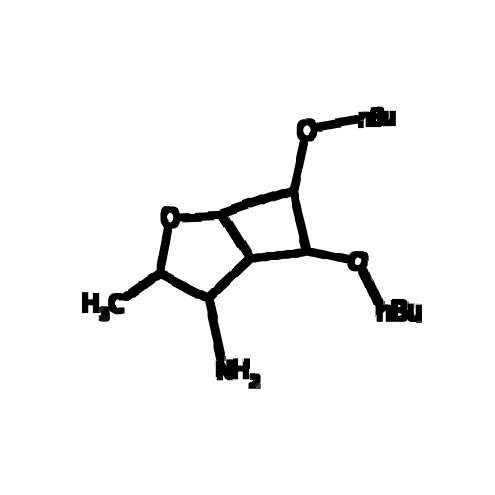 CCCCOC1C(OCCCC)C2C(N)C(C)OC12